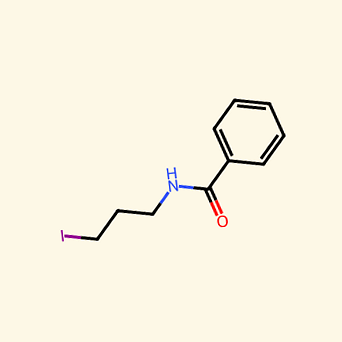 O=C(NCCCI)c1ccccc1